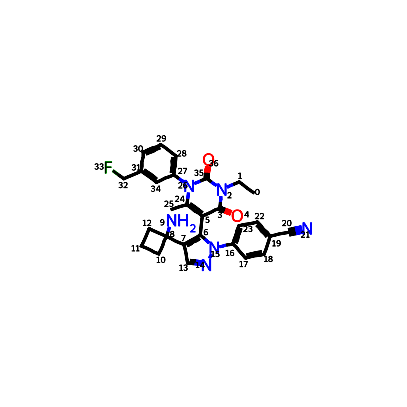 CCn1c(=O)c(-c2c(C3(N)CCC3)cnn2-c2ccc(C#N)cc2)c(C)n(-c2cccc(CF)c2)c1=O